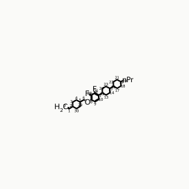 C=CC1CCC(COc2ccc(C3CCC(C4CCC(CCC)CC4)CC3)c(F)c2F)CC1